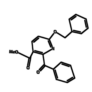 COC(=O)c1ccc(OCc2ccccc2)nc1C(=O)c1ccccc1